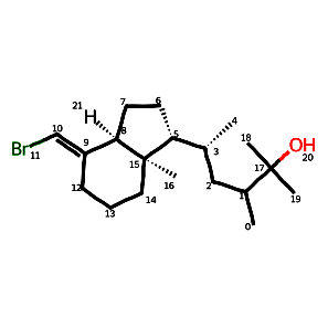 CC(C[C@@H](C)[C@H]1CC[C@@H]2/C(=C/Br)CCC[C@@]21C)C(C)(C)O